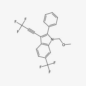 COCn1c(-c2ccccc2)c(C#CC(F)(F)F)c2ccc(C(F)(F)F)cc21